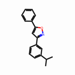 CC(C)c1cccc(-c2cc(-c3ccccc3)on2)c1